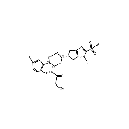 CCn1c(S(=O)(=O)C(C)C)nc2c1CN([C@H]1CO[C@H](c3cc(F)ccc3F)[C@@H](NC(=O)OC(C)(C)C)C1)C2